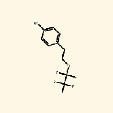 CC(F)(F)C(F)(F)OCCc1ccc(Br)cc1